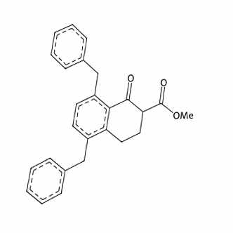 COC(=O)C1CCc2c(Cc3ccccc3)ccc(Cc3ccccc3)c2C1=O